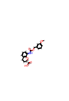 COc1cccc(COC(=O)Nc2cccc3c2O[C@H](C(=O)O)CC3)c1